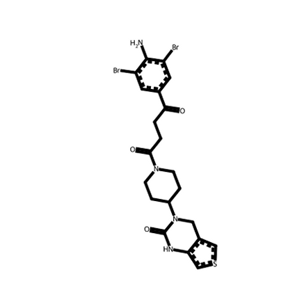 Nc1c(Br)cc(C(=O)CCC(=O)N2CCC(N3Cc4cscc4NC3=O)CC2)cc1Br